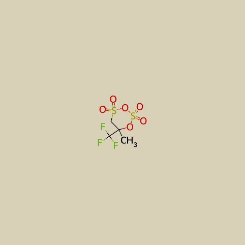 CC1(C(F)(F)F)CS(=O)(=O)OS(=O)(=O)O1